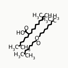 CC(C)CCCCCCCC(CCCCC(C)C)C(=O)O.CC(C)CCCCCCCOC(=O)CCCCCC(C)C